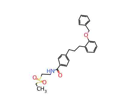 CCS(=O)(=O)CCNC(=O)c1ccc(CCCc2ccccc2OCc2ccccc2)cc1